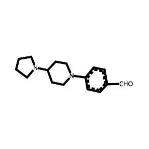 O=Cc1ccc(N2CCC(N3CCCC3)CC2)cc1